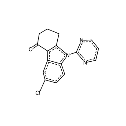 O=C1CCCc2c1c1cc(Cl)ccc1n2-c1ncccn1